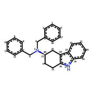 c1ccc(CN(Cc2ccccc2)[C@@H]2CCc3[nH]c4ccccc4c3C2)cc1